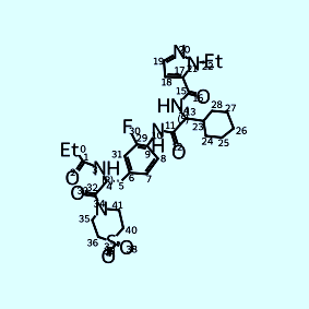 CCC(=O)N[C@H](Cc1ccc(NC(=O)[C@@H](NC(=O)c2ccnn2CC)C2CCCCC2)c(F)c1)C(=O)N1CCS(=O)(=O)CC1